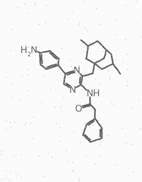 CC1CC2CC(C)CC(Cc3nc(-c4ccc(N)cc4)cnc3NC(=O)Cc3ccccc3)(C1)C2